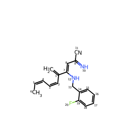 C=C(/C=C\C=C/C)/C(=C/C(=N)C#N)NCc1ccccc1F